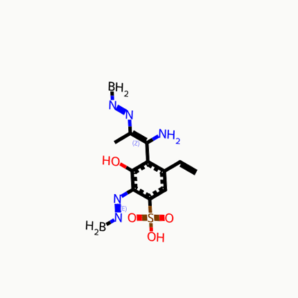 BN=N/C(C)=C(\N)c1c(C=C)cc(S(=O)(=O)O)c(/N=N/B)c1O